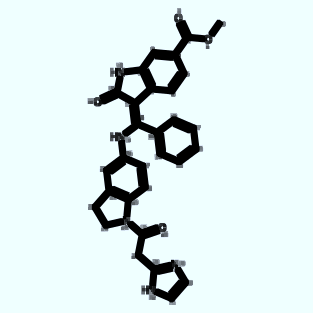 COC(=O)c1ccc2c(c1)NC(=O)/C2=C(\Nc1ccc2c(c1)CCN2C(=O)Cc1ncc[nH]1)c1ccccc1